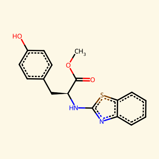 COC(=O)[C@H](Cc1ccc(O)cc1)Nc1nc2ccccc2s1